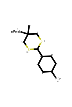 CCCCCC1(C)CSC(C2CCC(CCC)CC2)SC1